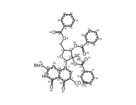 CCOC(=O)c1cn(C2OC(COC(=O)c3ccccc3)C(OC(=O)c3ccccc3)C2(C)OC(=O)c2ccccc2)c2nc(SC)[nH]c(=O)c2c1=O